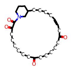 O=C1CC=CCCCCC2CCCN(C2)C(=O)C(=O)CCCCCCC(=O)CCCCC1